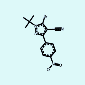 CC(C)(C)n1nc(-c2ccc([N+](=O)[O-])cc2)c(C#N)c1Br